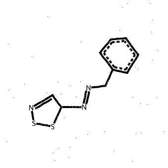 [C]1=NSSC1N=NCc1ccccc1